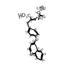 CC(C)(C)OC(=O)NC(Cc1ccc(Oc2ccnc3ccccc23)cc1)C(=O)O